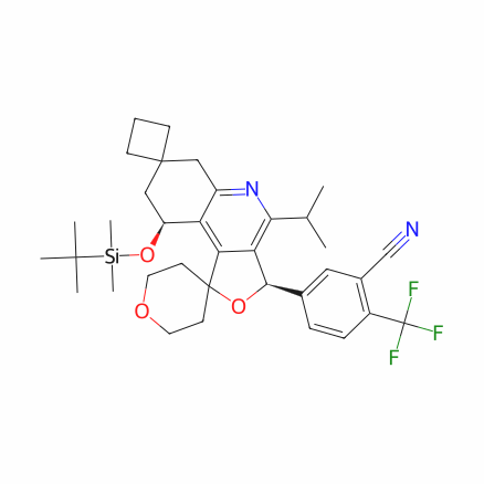 CC(C)c1nc2c(c3c1[C@@H](c1ccc(C(F)(F)F)c(C#N)c1)OC31CCOCC1)[C@@H](O[Si](C)(C)C(C)(C)C)CC1(CCC1)C2